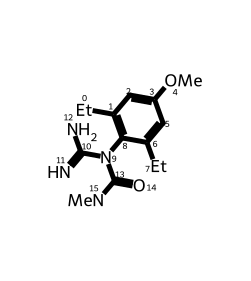 CCc1cc(OC)cc(CC)c1N(C(=N)N)C(=O)NC